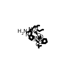 CCCC[C@@H](CO[P@](=O)(N[C@@H](C)C(=O)OC(C)C)Oc1ccccc1)n1c(COCC)nc2c(N)nc3ccccc3c21